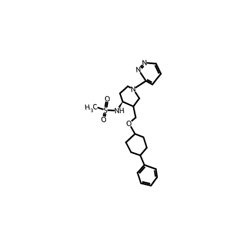 CS(=O)(=O)N[C@H]1CCN(c2cccnn2)CC1COC1CCC(c2ccccc2)CC1